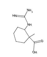 CC1(C(=O)O)CCCCC1NC(=N)N